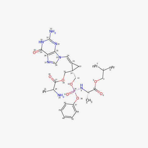 CCCC(CCC)COC(=O)[C@H](C)N[P@](=O)(OC[C@@]1(COC(=O)C(N)C(C)C)C/C1=C/n1cnc2c(=O)[nH]c(N)nc21)Oc1ccccc1